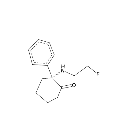 O=C1CCCC[C@@]1(NCCF)c1ccccc1